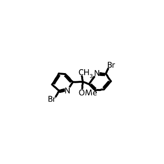 COC(C)(c1cccc(Br)n1)c1cccc(Br)n1